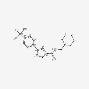 O=C(NCC1CCCCC1)c1coc(-c2ccc(C(F)(F)F)cc2)n1